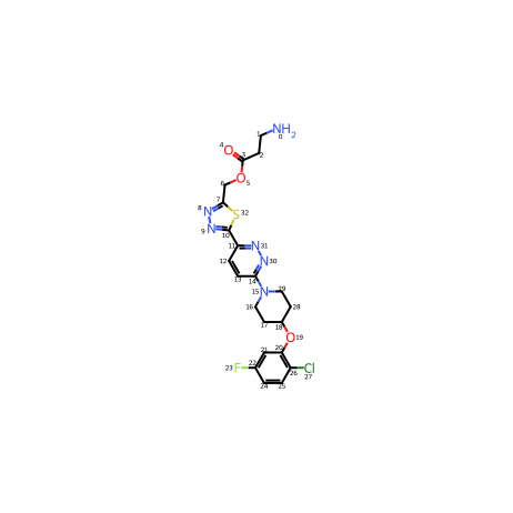 NCCC(=O)OCc1nnc(-c2ccc(N3CCC(Oc4cc(F)ccc4Cl)CC3)nn2)s1